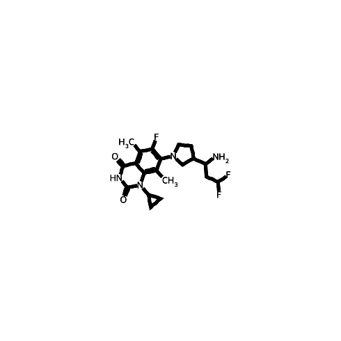 Cc1c(F)c(N2CCC(C(N)CC(F)F)C2)c(C)c2c1c(=O)[nH]c(=O)n2C1CC1